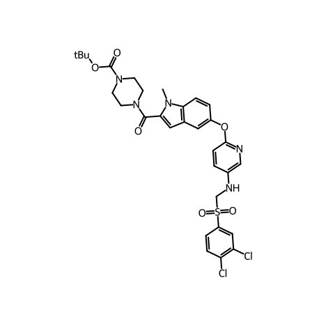 Cn1c(C(=O)N2CCN(C(=O)OC(C)(C)C)CC2)cc2cc(Oc3ccc(NCS(=O)(=O)c4ccc(Cl)c(Cl)c4)cn3)ccc21